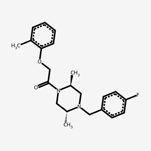 Cc1ccccc1OCC(=O)N1C[C@@H](C)N(Cc2ccc(F)cc2)C[C@@H]1C